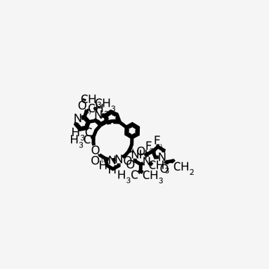 C=CC(=O)N1C[C@H](F)[C@](F)(C(=O)N(C)C(C(=O)N[C@H]2Cc3cccc(c3)-c3ccc4c(c3)c(c(-c3cccnc3[C@H](C)OC)n4CC)CC(C)(C)COC(=O)[C@@H]3CCCN(N3)C2=O)C(C)C)C1